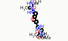 COC(=O)N[C@H](C(=O)N1[C@@H](C)CC[C@H]1c1ncc(-c2ccc3c(c2)COc2cc4c(ccc5nc([C@@H]6C[C@H](C)CN6C(=O)[C@@H](NC(=O)O)C(C)C)[nH]c54)cc2-3)[nH]1)[C@@H](C)OC